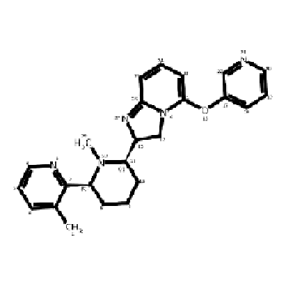 Cc1cccnc1[C@@H]1CCC[C@H](C2CN3C(Oc4cccnc4)=CC=CC3=N2)N1C